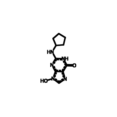 O=c1[nH]c(NC2CCCC2)nc2c1ncn2O